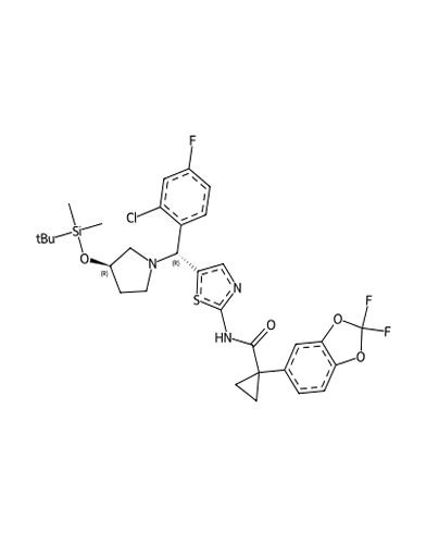 CC(C)(C)[Si](C)(C)O[C@@H]1CCN([C@@H](c2cnc(NC(=O)C3(c4ccc5c(c4)OC(F)(F)O5)CC3)s2)c2ccc(F)cc2Cl)C1